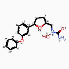 NC(=O)N(O)CC1CCC(c2cccc(Oc3ccccc3)c2)O1